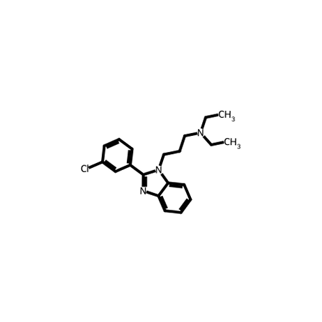 CCN(CC)CCCn1c(-c2cccc(Cl)c2)nc2ccccc21